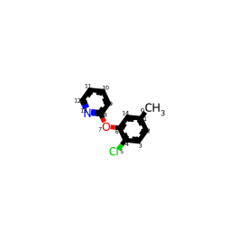 Cc1ccc(Cl)c(Oc2ccccn2)c1